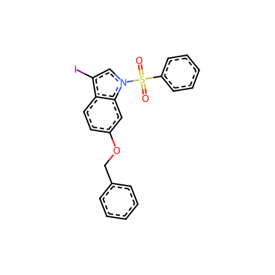 O=S(=O)(c1ccccc1)n1cc(I)c2ccc(OCc3ccccc3)cc21